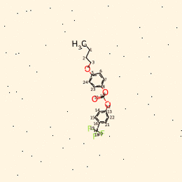 CCCCOc1ccc(OC(=O)Oc2ccc(C(F)(F)F)cc2)cc1